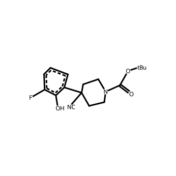 CC(C)(C)OC(=O)N1CCC(C#N)(c2cccc(F)c2O)CC1